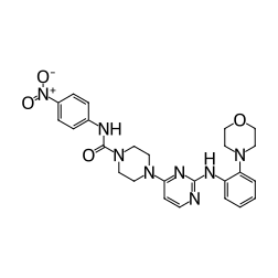 O=C(Nc1ccc([N+](=O)[O-])cc1)N1CCN(c2ccnc(Nc3ccccc3N3CCOCC3)n2)CC1